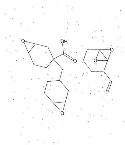 C=CC1CCCC23OC12O3.O=C(O)C1(CC2CCC3OC3C2)CCC2OC2C1